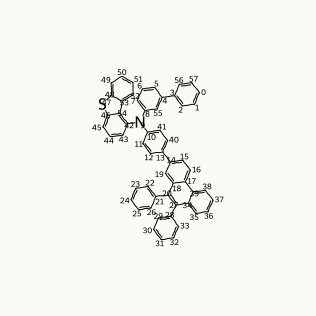 c1ccc(-c2cccc(N(c3ccc(-c4ccc5c(c4)c(-c4ccccc4)c(-c4ccccc4)c4ccccc45)cc3)c3cccc4sc5ccccc5c34)c2)cc1